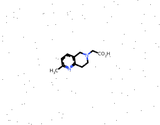 Cc1ccc2c(n1)CCN(CC(=O)O)C2